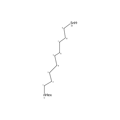 CCCCCCCCCCCCCC[CH2][SnH]